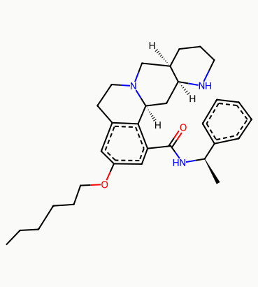 CCCCCCOc1cc2c(c(C(=O)N[C@H](C)c3ccccc3)c1)[C@@H]1C[C@@H]3NCCC[C@@H]3CN1CC2